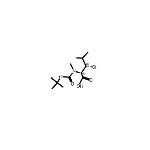 CC(C)[C@H](O)[C@@H](C(=O)O)N(C)C(=O)OC(C)(C)C